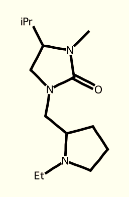 CCN1CCCC1CN1CC(C(C)C)N(C)C1=O